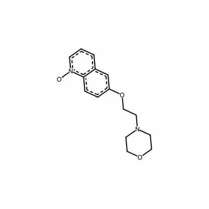 [O-][n+]1cccc2cc(OCCN3CCOCC3)ccc21